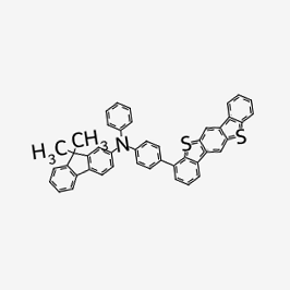 CC1(C)c2ccccc2-c2ccc(N(c3ccccc3)c3ccc(-c4cccc5c4sc4cc6c(cc45)sc4ccccc46)cc3)cc21